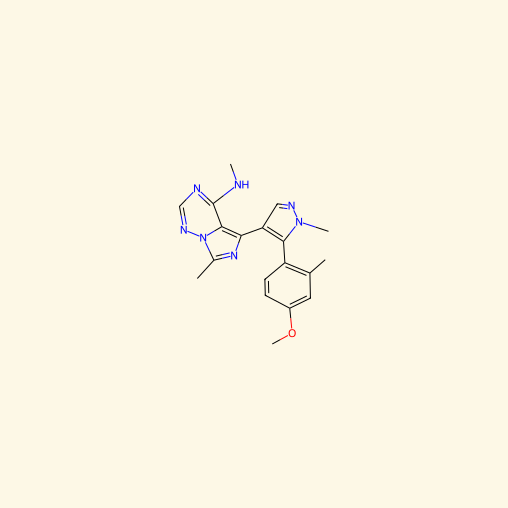 CNc1ncnn2c(C)nc(-c3cnn(C)c3-c3ccc(OC)cc3C)c12